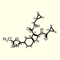 Cc1nnc(C2CCc3sc(NC(=O)C4CC4)c(C(=O)NCC4CC4)c3C2)o1